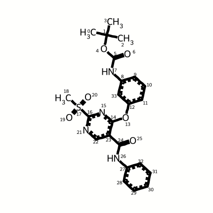 CC(C)(C)OC(=O)Nc1cccc(Oc2nc(S(C)(=O)=O)ncc2C(=O)Nc2ccccc2)c1